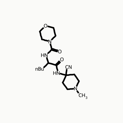 CCCCC(NC(=O)N1CCOCC1)C(=O)NC1(C#N)CCN(C)CC1